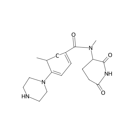 CC1CC(C(=O)N(C)C2CCC(=O)NC2=O)=CC=C1N1CCNCC1